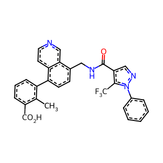 Cc1c(C(=O)O)cccc1-c1ccc(CNC(=O)c2cnn(-c3ccccc3)c2C(F)(F)F)c2cnccc12